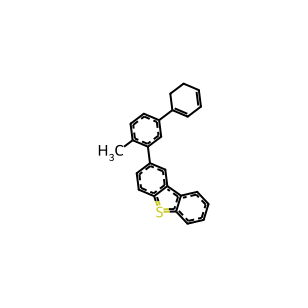 Cc1ccc(C2=CC=CCC2)cc1-c1ccc2sc3ccccc3c2c1